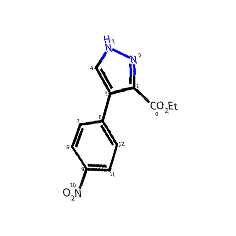 CCOC(=O)c1n[nH]cc1-c1ccc([N+](=O)[O-])cc1